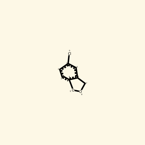 Clc1ccc2c(c1)COO2